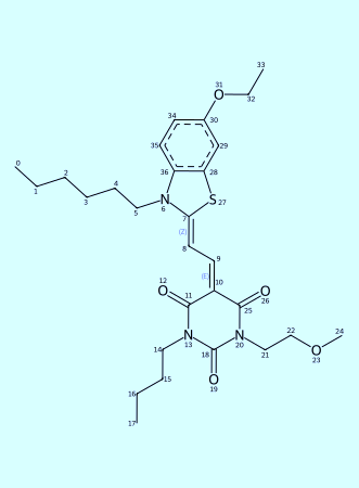 CCCCCCN1/C(=C/C=C2\C(=O)N(CCCC)C(=O)N(CCOC)C2=O)Sc2cc(OCC)ccc21